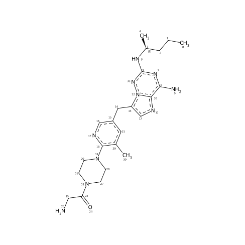 CCC[C@H](C)Nc1nc(N)c2ncc(Cc3cnc(N4CCN(C(=O)CN)CC4)c(C)c3)n2n1